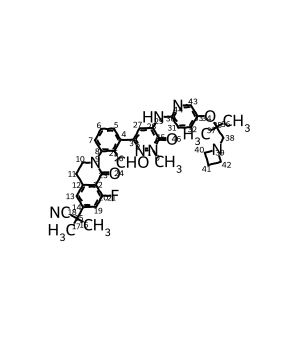 Cn1nc(-c2cccc(N3CCc4cc(C(C)(C)C#N)cc(F)c4C3=O)c2C=O)cc(Nc2ccc(OC(C)(C)CN3CCC3)cn2)c1=O